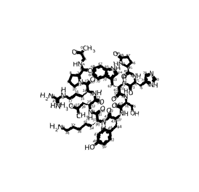 CC(=O)CNC(=O)C1CCCN1C(=O)[C@H](CCCNC(=N)N)NC(=O)[C@H](CC(C)C)NC(=O)[C@@H](CCCCCN)NC(=O)[C@H](Cc1ccc(O)cc1)NC(=O)C(CO)NC(=O)[C@H](Cc1c[nH]c2ccccc12)NC(=O)[C@H](Cc1cnc[nH]1)NC(=O)[C@@H]1CCC(=O)N1